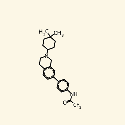 CC1(C)CCC(N2CCc3ccc(-c4ccc(NC(=O)C(F)(F)F)cc4)cc3C2)CC1